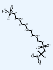 CC(C)(CS(=O)(=O)CCOCCOCCOCCS(=O)(=O)O)N(Cl)Cl